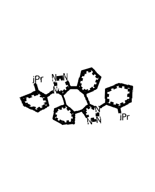 CC(C)c1ccccc1-n1nnc2c1-c1ccccc1-c1nnn(-c3ccccc3C(C)C)c1-c1ccccc1-2